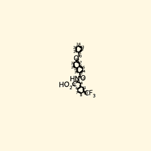 O=C(N[C@@H](Cc1cccc(C(F)(F)F)c1)C(=O)O)c1ccc2cc(OCc3ccccc3)ccc2c1